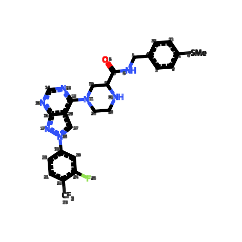 CSc1ccc(CNC(=O)C2CN(c3ncnc4nn(-c5ccc(C(F)(F)F)c(F)c5)cc34)CCN2)cc1